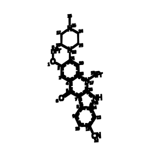 CCCOc1cc2c(=O)c3c4ccc(C#N)cc4[nH]c3n(C(C)C)c2cc1N1CCN(C)CC1